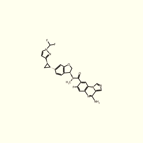 CN(C(=O)c1cc2c(cc1F)nc(N)c1cncn12)[C@@H]1COc2cc([C@@H]3C[C@H]3c3ccn(C(F)F)n3)ccc21